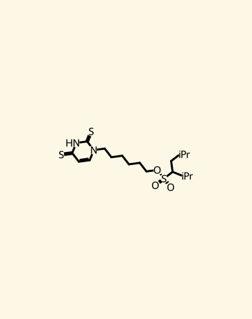 CC(C)CC(C(C)C)S(=O)(=O)OCCCCCCn1ccc(=S)[nH]c1=S